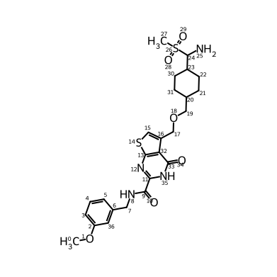 COc1cccc(CNC(=O)c2nc3scc(COCC4CCC(C(N)S(C)(=O)=O)CC4)c3c(=O)[nH]2)c1